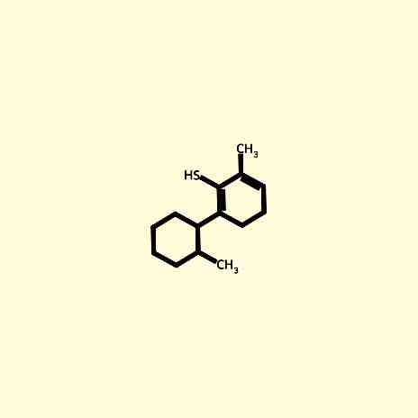 CC1=CCCC(C2CCCCC2C)=C1S